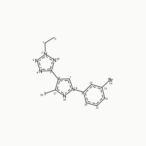 CCn1nnc(-c2cn(-c3cccc(Br)c3)nc2I)n1